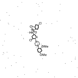 COc1ccc(N2CCN(c3ncc(NS(=O)(=O)c4ccc(Cl)cc4Cl)cc3Cl)CC2)c(OC)c1